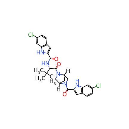 CC(C)(C)[C@H](NC(=O)c1cc2ccc(Cl)cc2[nH]1)C(=O)N1C[C@@H]2C[C@H]1CN2C(=O)c1cc2ccc(Cl)cc2[nH]1